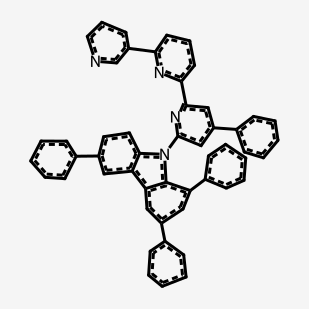 c1ccc(-c2cc(-c3cccc(-c4cccnc4)n3)nc(-n3c4ccc(-c5ccccc5)cc4c4cc(-c5ccccc5)cc(-c5ccccc5)c43)c2)cc1